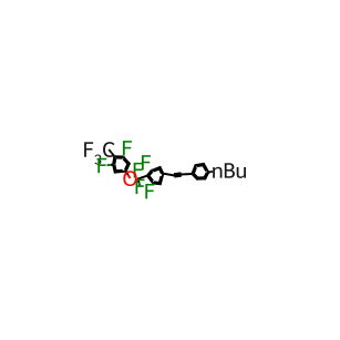 CCCCc1ccc(C#Cc2cc(F)c(C(F)(F)Oc3cc(F)c(C(F)(F)F)c(F)c3)c(F)c2)cc1